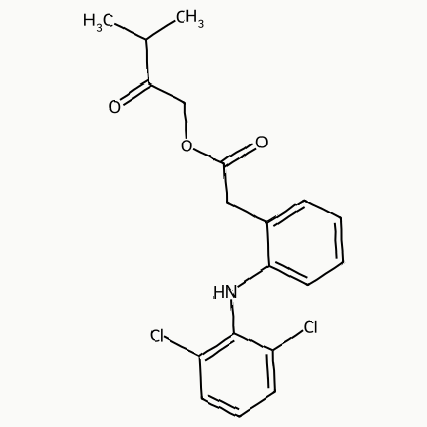 CC(C)C(=O)COC(=O)Cc1ccccc1Nc1c(Cl)cccc1Cl